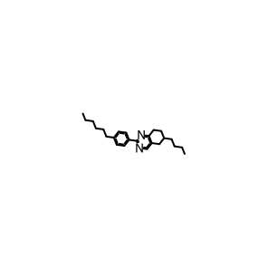 CCCCCCc1ccc(-c2ncc3c(n2)CCC(CCCC)C3)cc1